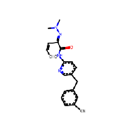 CN(C)/N=C(\C=C/C=O)C(=O)Nc1ccc(Cc2cccc(C#N)c2)cn1